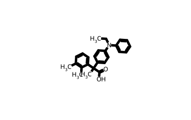 CCN(c1ccccc1)c1ccc(C(C)(C(=O)O)c2cccc(C)c2C)cc1